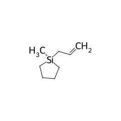 C=CC[Si]1(C)CCCC1